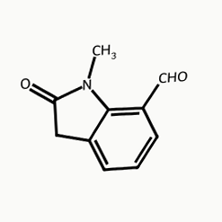 CN1C(=O)Cc2cccc(C=O)c21